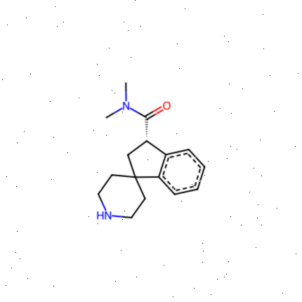 CN(C)C(=O)[C@H]1CC2(CCNCC2)c2ccccc21